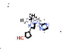 CC(C)(C)n1nc([C@H]2CC[C@H](O)C2)cc1Nc1cnccn1